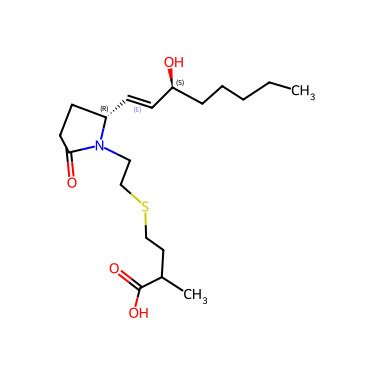 CCCCC[C@H](O)/C=C/[C@H]1CCC(=O)N1CCSCCC(C)C(=O)O